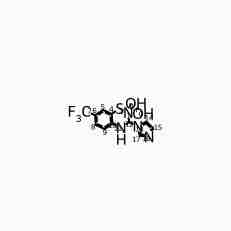 O[N+]1(O)Sc2cc(C(F)(F)F)ccc2NC1n1ccnc1